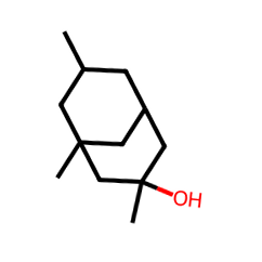 CC1CC2CC(C)(O)CC(C)(C1)C2